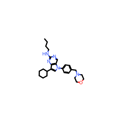 CCCCNc1ncc2c(n1)c(C1CCCCC1)cn2-c1ccc(CN2CCOCC2)cc1